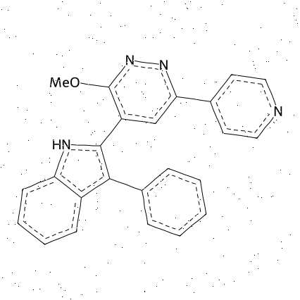 COc1nnc(-c2ccncc2)cc1-c1[nH]c2ccccc2c1-c1ccccc1